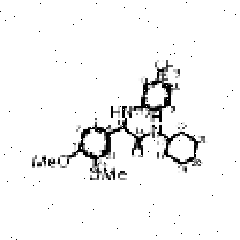 COc1ccc(C(Nc2cccc(C(F)(F)F)c2)C(=O)NC2CCCCC2)cc1OC